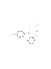 CN1C(=O)C(NBr)N=C(c2ccc(Cl)cc2)c2ccccc21